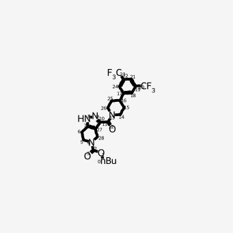 CCCCOC(=O)N1CCc2[nH]nc(C(=O)N3CCC(c4cc(C(F)(F)F)cc(C(F)(F)F)c4)CC3)c2C1